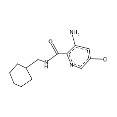 Nc1cc(Cl)cnc1C(=O)N[CH]C1CCCCC1